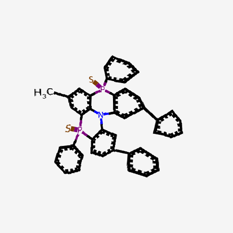 Cc1cc2c3c(c1)P(=S)(c1ccccc1)c1ccc(-c4ccccc4)cc1N3c1cc(-c3ccccc3)ccc1P2(=S)c1ccccc1